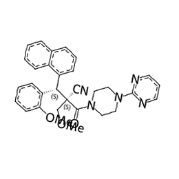 COC[C@](C#N)(C(=O)N1CCN(c2ncccn2)CC1)[C@H](c1ccccc1OC)c1cccc2ccccc12